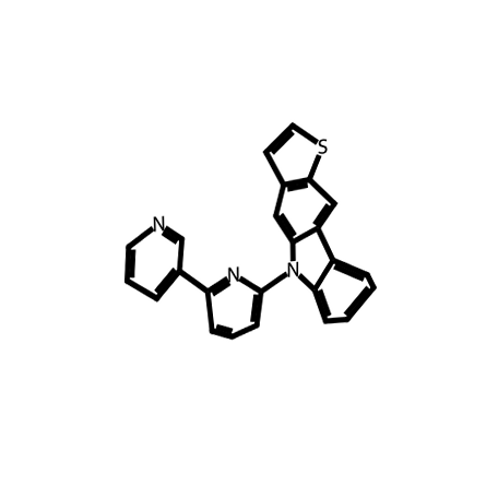 c1cncc(-c2cccc(-n3c4ccccc4c4cc5sccc5cc43)n2)c1